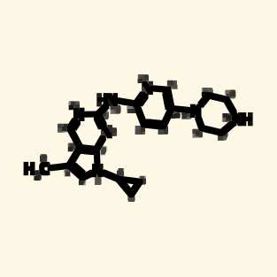 Cc1cn(C2CC2)c2nc(Nc3ccc(N4CCNCC4)cn3)ncc12